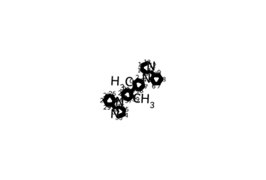 Cc1cc(-n2c3ccccc3c3ncccc32)ccc1-c1ccc(-n2c3ccccc3c3ncccc32)cc1C